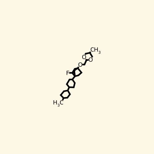 CC1CCC(C2CCC(C34CCC(OCC5OCC(C)CO5)(C=C3F)CC4)CC2)CC1